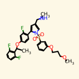 CNCc1cc(-c2ccc(OC(C)c3c(F)cccc3F)cc2F)n(S(=O)(=O)c2cccc(OCCCOC)c2)c1